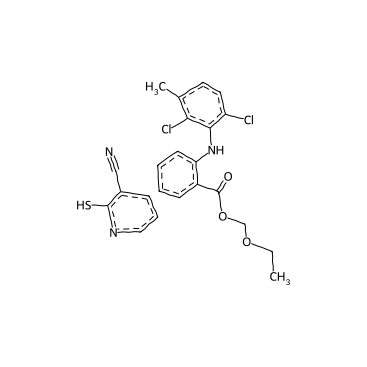 CCOCOC(=O)c1ccccc1Nc1c(Cl)ccc(C)c1Cl.N#Cc1cccnc1S